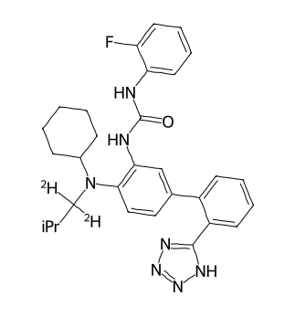 [2H]C([2H])(C(C)C)N(c1ccc(-c2ccccc2-c2nnn[nH]2)cc1NC(=O)Nc1ccccc1F)C1CCCCC1